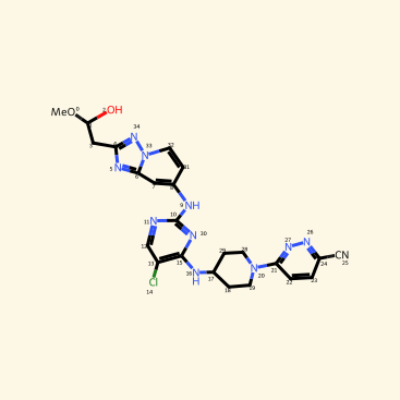 COC(O)Cc1nc2cc(Nc3ncc(Cl)c(NC4CCN(c5ccc(C#N)nn5)CC4)n3)ccn2n1